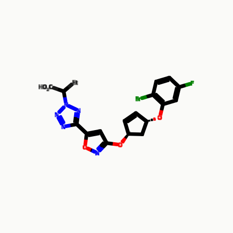 CCC(C(=O)O)n1nnc(-c2cc(O[C@H]3C=C[C@H](Oc4cc(F)ccc4Br)C3)no2)n1